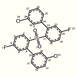 O=S(=O)(c1ccc(F)cc1-c1cccc(Cl)c1)c1ccc(F)cc1-c1cccc(Cl)c1